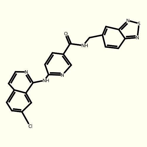 O=C(NCc1ccc2nsnc2c1)c1ccc(Nc2nccc3ccc(Cl)cc23)nc1